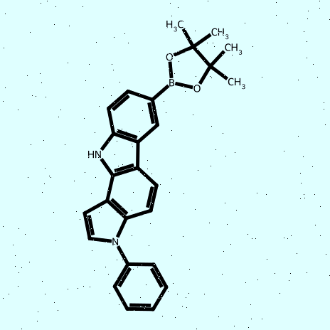 CC1(C)OB(c2ccc3[nH]c4c(ccc5c4ccn5-c4ccccc4)c3c2)OC1(C)C